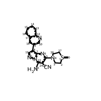 C=S1CCN(c2nc3c(-c4cnc5ccccc5c4)cnn3c(N)c2C#N)CC1